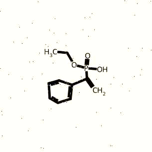 C=C(c1ccccc1)P(=O)(O)OCC